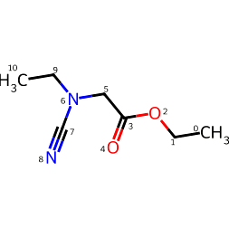 CCOC(=O)CN(C#N)CC